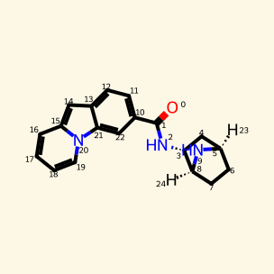 O=C(N[C@@H]1C[C@H]2CC[C@@H]1N2)c1ccc2cc3ccccn3c2c1